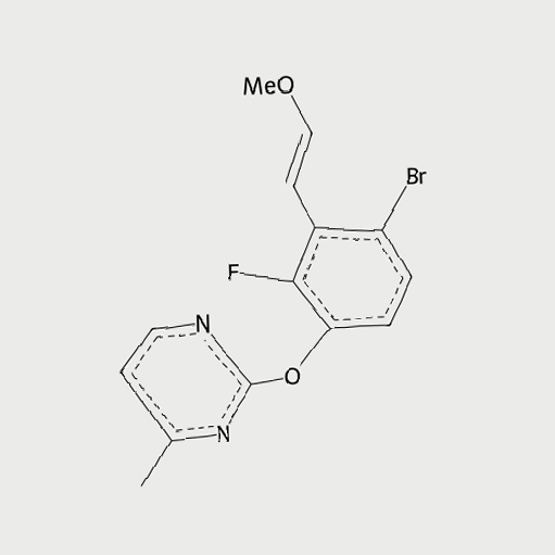 CO/C=C/c1c(Br)ccc(Oc2nccc(C)n2)c1F